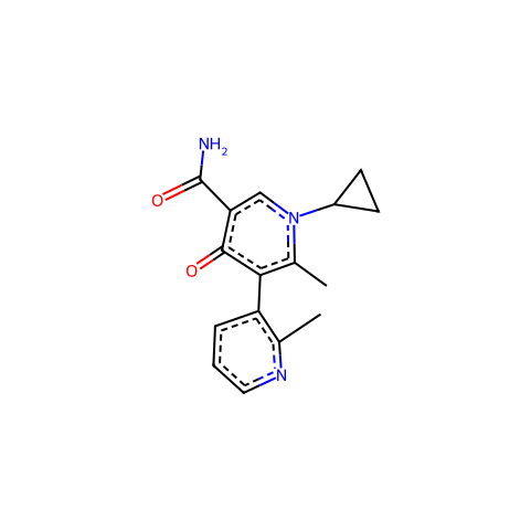 Cc1ncccc1-c1c(C)n(C2CC2)cc(C(N)=O)c1=O